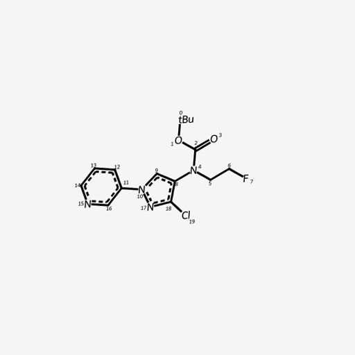 CC(C)(C)OC(=O)N(CCF)c1cn(-c2cccnc2)nc1Cl